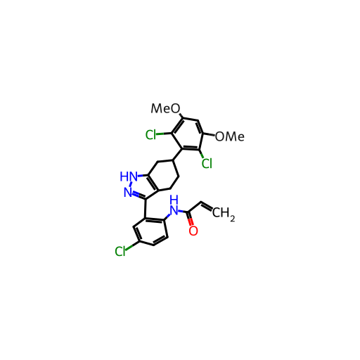 C=CC(=O)Nc1ccc(Cl)cc1-c1n[nH]c2c1CCC(c1c(Cl)c(OC)cc(OC)c1Cl)C2